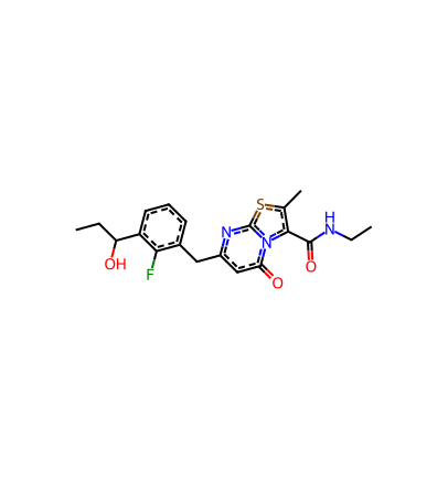 CCNC(=O)c1c(C)sc2nc(Cc3cccc(C(O)CC)c3F)cc(=O)n12